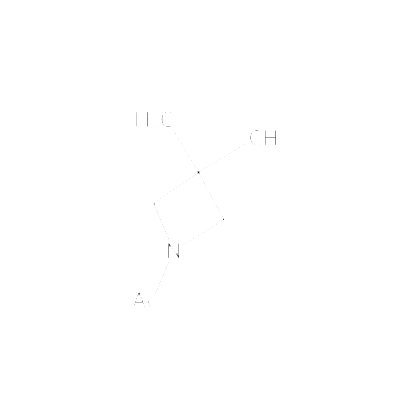 CC(=O)N1CC(C)(C)C1